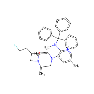 Bc1cnc(N(C)C(c2ccccc2)(c2ccccc2)c2ccccc2)c(N(C=C)CC(=C)N2CC(CCF)C2)c1